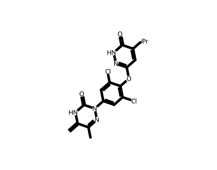 C=C1NC(=O)N(c2cc(Cl)c(Oc3cc(C(C)C)c(=O)[nH]n3)c(Cl)c2)N=C1C